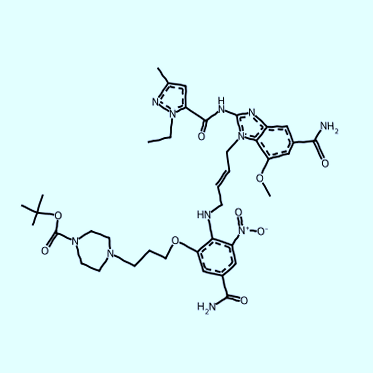 CCn1nc(C)cc1C(=O)Nc1nc2cc(C(N)=O)cc(OC)c2n1C/C=C/CNc1c(OCCCN2CCN(C(=O)OC(C)(C)C)CC2)cc(C(N)=O)cc1[N+](=O)[O-]